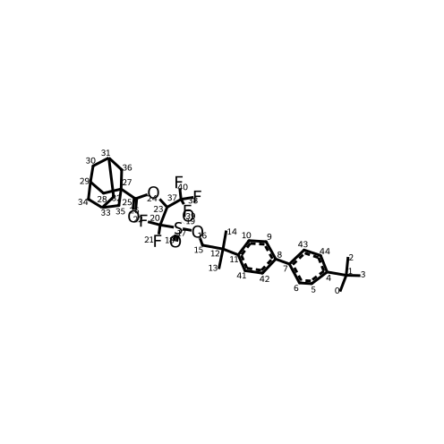 CC(C)(C)c1ccc(-c2ccc(C(C)(C)COS(=O)(=O)C(F)(F)C(OC(=O)C34CC5CC(CC(C5)C3)C4)C(F)(F)F)cc2)cc1